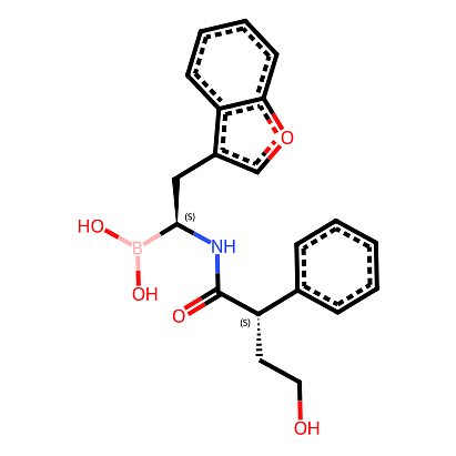 O=C(N[C@H](Cc1coc2ccccc12)B(O)O)[C@@H](CCO)c1ccccc1